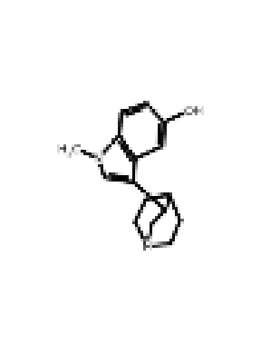 Cn1cc(C2CN3CCC2CC3)c2cc(O)ccc21